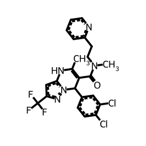 CC1=C(C(=O)N(C)CCc2ccccn2)C(c2ccc(Cl)c(Cl)c2)n2nc(C(F)(F)F)cc2N1